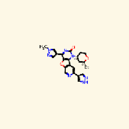 CC[C@H]1C[C@@H](n2c(=O)nc(-c3cnn(C)c3)c3oc4cnc(-c5cn[nH]c5)cc4c32)CCO1